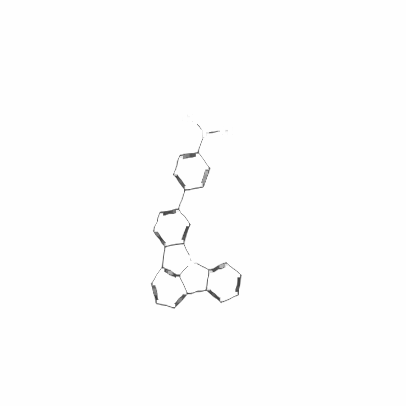 OB(O)c1ccc(-c2ccc3c4cccc5c6ccccc6n(c3c2)c54)cc1